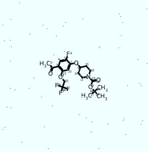 CC(=O)c1cc(F)c(OC2CCN(C(=O)OC(C)(C)C)CC2)cc1OCC(F)(F)F